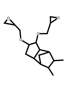 CC1C(C)C2CC1C1CC(OCC3CO3)C(OCC3CO3)C21